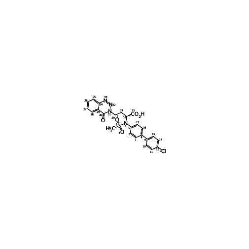 CS(=O)(=O)N(c1ccc(-c2ccc(Cl)cc2)cc1)[C@@H](CCn1nnc2ccccc2c1=O)C(=O)O